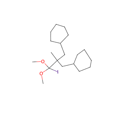 COC(I)(OC)C(C)(CC1CCCCC1)CC1CCCCC1